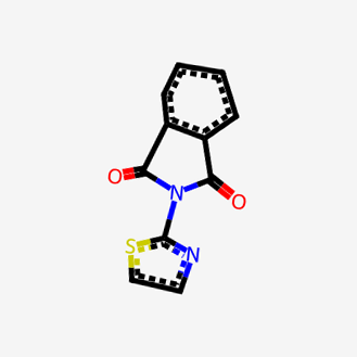 O=C1c2ccccc2C(=O)N1c1nccs1